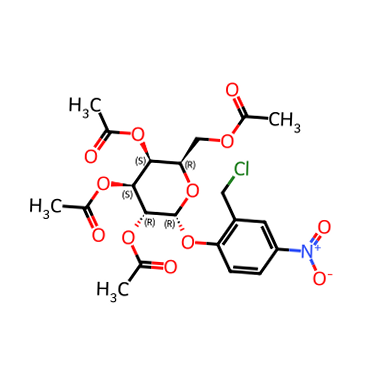 CC(=O)OC[C@H]1O[C@H](Oc2ccc([N+](=O)[O-])cc2CCl)[C@H](OC(C)=O)[C@@H](OC(C)=O)[C@H]1OC(C)=O